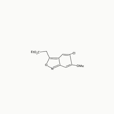 CCOC(=O)Cc1onc2cc(OC)c(Cl)cc12